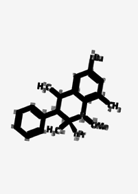 CCCCc1cc(C)c2c(c1)C(C)C(c1ccccc1)[C@](C)(CCC)N2OC